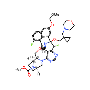 C#Cc1c(F)ccc2cc(OCOC)cc(C3(OCC4(CN5CCOCC5)CC4)N=C4OC[C@@H]5[C@@H]6CC[C@H](CN5c5ncnc(c54)C3F)N6C(=O)OC(C)(C)C)c12